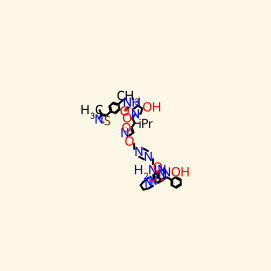 Cc1ncsc1-c1ccc([C@H](C)NC(=O)[C@@H]2C[C@@H](O)CN2C(=O)[C@H](c2cc(OCCN3CCN(CCOc4cc(N5C6CCC5CN(c5cc(-c7ccccc7O)nnc5N)C6)ccn4)CC3)no2)C(C)C)cc1